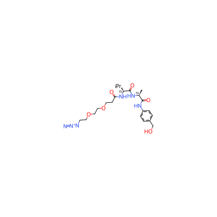 CC(C)[C@H](NC(=O)CCOCCOCCN=[N+]=[N-])C(=O)N[C@@H](C)C(=O)Nc1ccc(CO)cc1